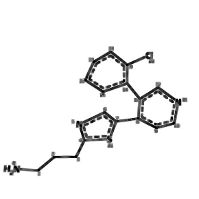 NCCCc1ncc(-c2ccncc2-c2ccccc2Cl)s1